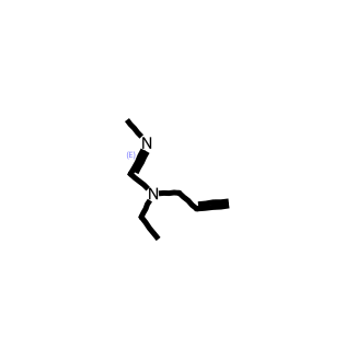 C=CCN(/C=N/C)CC